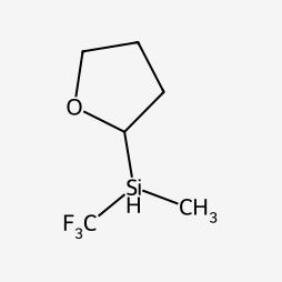 C[SiH](C1CCCO1)C(F)(F)F